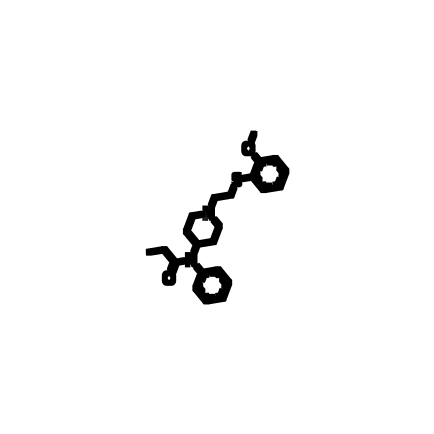 CCC(=O)N(c1ccccc1)C1CCN(CCSc2ccccc2OC)CC1